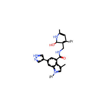 CCCC1=C(CNC(=O)c2cc(-c3cn[nH]c3)cc3c2c(C)cn3C(C)C)C(O)NC(C)=C1